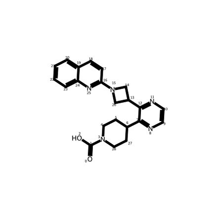 O=C(O)N1CCC(c2nccnc2C2CN(c3ccc4ccccc4n3)C2)CC1